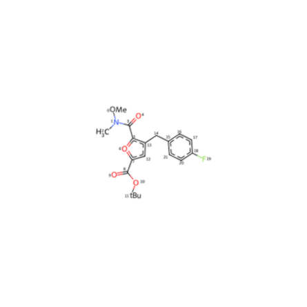 CON(C)C(=O)c1oc(C(=O)OC(C)(C)C)cc1Cc1ccc(F)cc1